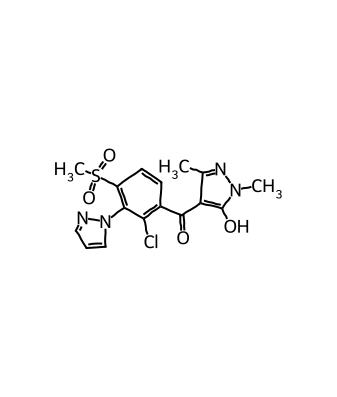 Cc1nn(C)c(O)c1C(=O)c1ccc(S(C)(=O)=O)c(-n2cccn2)c1Cl